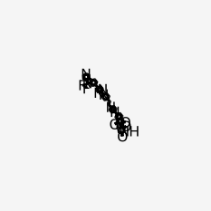 O=C1CCC(N2C(=O)c3ccc(N4CCN(CCC5CCN(c6ncc(-c7ccc8c9cnccc9n(C(F)F)c8c7)cn6)CC5)CC4)cc3C2=O)C(=O)N1